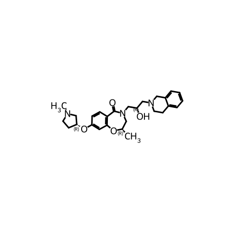 C[C@@H]1CN(C[C@H](O)CN2CCc3ccccc3C2)C(=O)c2ccc(O[C@@H]3CCN(C)C3)cc2O1